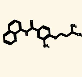 Cc1cc(C(=O)Nc2cccc3cccnc23)ccc1OCCN(C)C